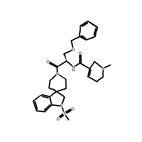 CN1CCC=C(C(=O)N[C@H](COCc2ccccc2)C(=O)N2CCC3(CC2)CN(S(C)(=O)=O)c2ccccc23)C1